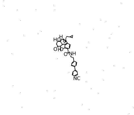 [C-]#[N+]c1ccc(-c2ccc(CCNC(=O)c3ccc4c5c3O[C@H]3C(=O)CC[C@@]6(O)[C@@H](C4)N(CC4CC4)CC[C@]536)cc2)cc1